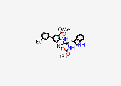 CCc1cccc(-c2ccc(NC(C#N)[C@H](Cc3c[nH]c4ccccc34)NC(=O)OC(C)(C)C)c(C(=O)OC)c2)c1